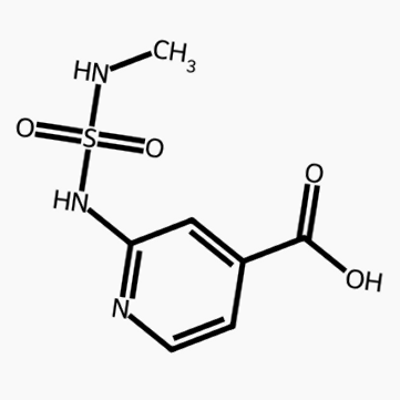 CNS(=O)(=O)Nc1cc(C(=O)O)ccn1